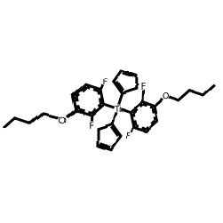 CCCCOc1ccc(F)[c]([Ti]([C]2=CC=CC2)([C]2=CC=CC2)[c]2c(F)ccc(OCCCC)c2F)c1F